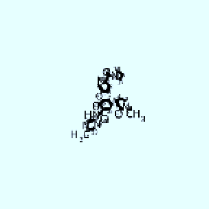 CCN1CC[C@@H](C2=CC(Oc3ccc(C(=O)N4CCC4)nc3)C(=O)C(C(=O)Nc3cnc(C)cn3)=C2)C1=O